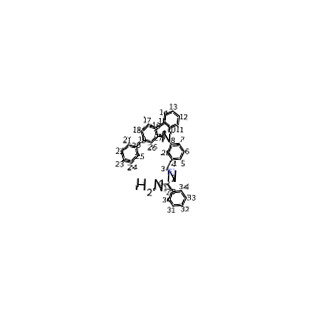 NC(/N=C/c1cccc(-n2c3ccccc3c3ccc(-c4ccccc4)cc32)c1)c1ccccc1